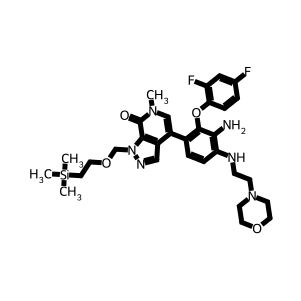 Cn1cc(-c2ccc(NCCN3CCOCC3)c(N)c2Oc2ccc(F)cc2F)c2cnn(COCC[Si](C)(C)C)c2c1=O